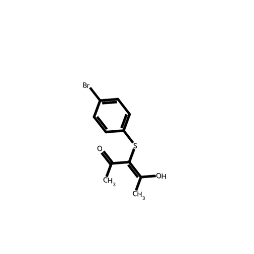 CC(=O)C(Sc1ccc(Br)cc1)=C(C)O